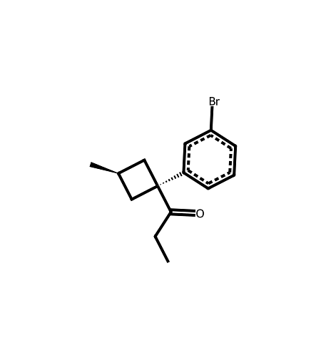 CCC(=O)[C@]1(c2cccc(Br)c2)C[C@H](C)C1